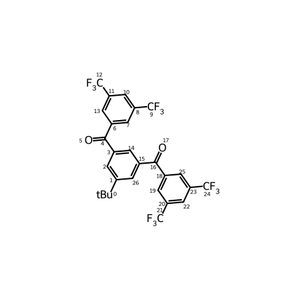 CC(C)(C)c1cc(C(=O)c2cc(C(F)(F)F)cc(C(F)(F)F)c2)cc(C(=O)c2cc(C(F)(F)F)cc(C(F)(F)F)c2)c1